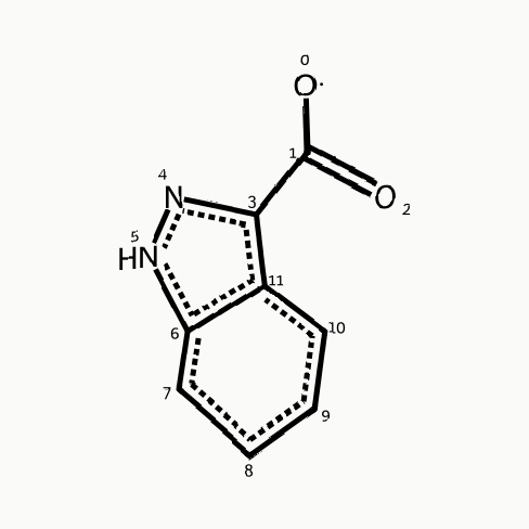 [O]C(=O)c1n[nH]c2ccccc12